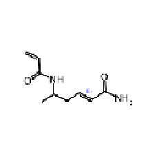 C=CC(=O)NC(C)C/C=C/C(N)=O